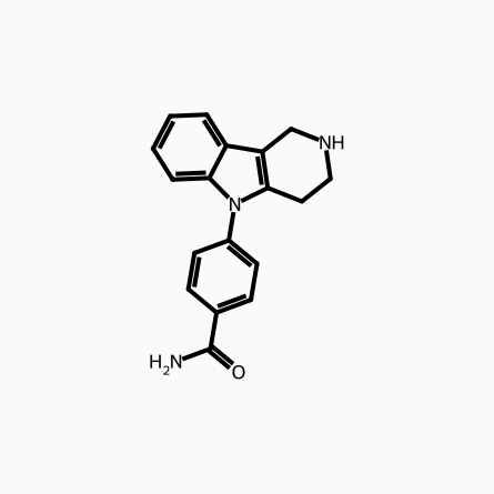 NC(=O)c1ccc(-n2c3c(c4ccccc42)CNCC3)cc1